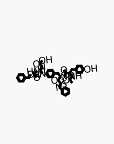 CC(=O)NC(Cc1ccc(O)cc1)C(=O)NC(Cc1ccc(NC(=NC(=O)O)NC(=O)OCc2ccccc2)cc1)C(=O)c1nc2ccccc2s1